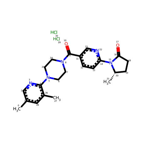 Cc1cnc(N2CCN(C(=O)c3ccc(N4C(=O)CC[C@@H]4C)nc3)CC2)c(C)c1.Cl.Cl